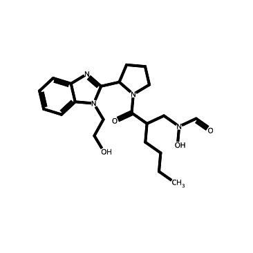 CCCCC(CN(O)C=O)C(=O)N1CCCC1c1nc2ccccc2n1CCO